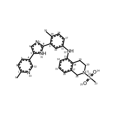 Cc1ccc(-c2cnc(-c3cc(Nc4cccc5c4CCN(S(C)(=O)=O)C5)ccc3C)[nH]2)cn1